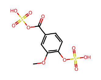 COc1cc(C(=O)OS(=O)(=O)O)ccc1OS(=O)(=O)O